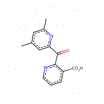 Cc1cc(C)nc(C(=O)c2ncccc2C(=O)O)c1